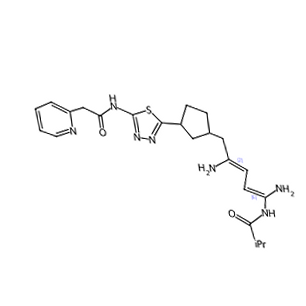 CC(C)C(=O)N/C(N)=C/C=C(\N)CC1CCC(c2nnc(NC(=O)Cc3ccccn3)s2)C1